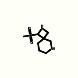 CS(=O)(=O)C1NCC12CCCNC2